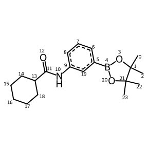 CC1(C)OB(c2cccc(NC(=O)C3CCCCC3)c2)OC1(C)C